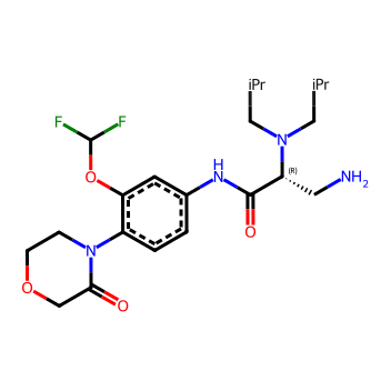 CC(C)CN(CC(C)C)[C@H](CN)C(=O)Nc1ccc(N2CCOCC2=O)c(OC(F)F)c1